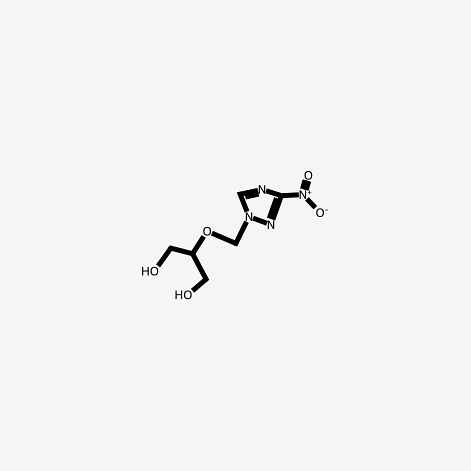 O=[N+]([O-])c1ncn(COC(CO)CO)n1